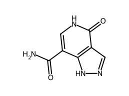 NC(=O)c1c[nH]c(=O)c2cn[nH]c12